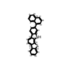 c1ccc2c(-c3ccc4c(c3)[nH]c3c4ccc4c5ccccc5sc43)cccc2c1